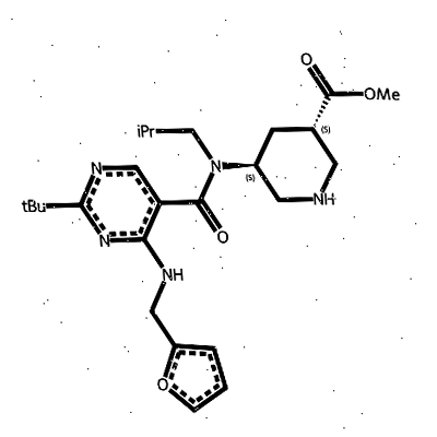 COC(=O)[C@@H]1CNC[C@@H](N(CC(C)C)C(=O)c2cnc(C(C)(C)C)nc2NCc2ccco2)C1